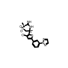 CN1C(=N)N[C@](C)(c2sc(-c3cccc(-n4nccn4)c3)cc2Cl)CS1(=O)=O